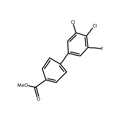 COC(=O)c1ccc(-c2cc(F)c(Cl)c(Cl)c2)cc1